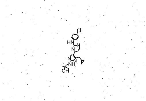 CC(C)(O)CNc1ncc(-c2ccnc(Nc3ccc(Cl)cc3)n2)c(CC2CC2)n1